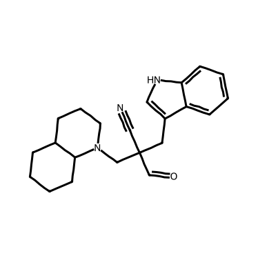 N#CC(C=O)(Cc1c[nH]c2ccccc12)CN1CCCC2CCCCC21